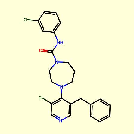 O=C(Nc1cccc(Cl)c1)N1CCCN(c2c(Cl)cncc2Cc2ccccc2)CC1